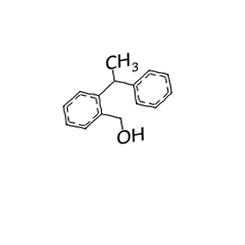 CC(c1ccccc1)c1ccccc1CO